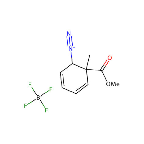 COC(=O)C1(C)C=CC=CC1[N+]#N.F[B-](F)(F)F